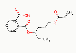 C=CC(=O)OCCCC(CC)OC(=O)c1ccccc1C(=O)O